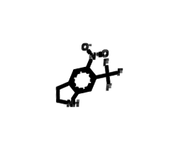 O=[N+]([O-])c1cc2c(cc1C(F)(F)F)NCC2